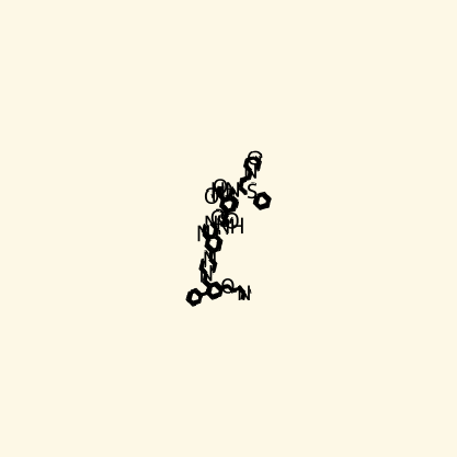 CN(C)CCOc1ccc(-c2ccccc2)c(CN2CCN(c3ccc4c(NS(=O)(=O)c5ccc(NC(CCN6CCOCC6)CSc6ccccc6)c([N+](=O)[O-])c5)ncnc4c3)CC2)c1